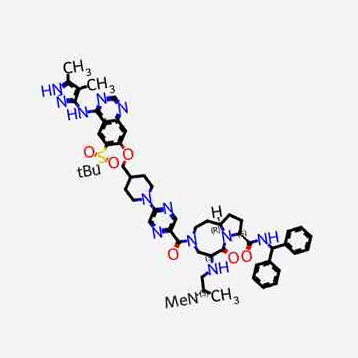 CN[C@@H](C)CN[C@H]1CN(C(=O)c2cnc(N3CCC(COc4cc5ncnc(Nc6n[nH]c(C)c6C)c5cc4S(=O)(=O)C(C)(C)C)CC3)cn2)CC[C@H]2CC[C@@H](C(=O)NC(c3ccccc3)c3ccccc3)N2C1=O